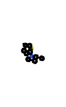 c1ccc(-c2ccc(N(c3ccccc3-c3ccccc3)c3cc4sc5ccc6cccc7c6c5c4c4c3ccc3cccc-7c34)cc2)cc1